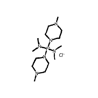 CN1CCN([P+](N(C)C)(N(C)C)N2CCN(C)CC2)CC1.[Cl-]